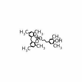 Cc1cc(C)c2c(c1)Cc1cc(C)cc(C)c1OP(OCCCc1cc(C)c(O)c(C)c1)O2